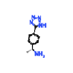 C[C@@H](N)c1ccc(-c2nnn[nH]2)cc1